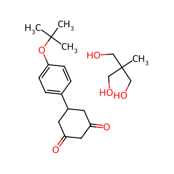 CC(C)(C)Oc1ccc(C2CC(=O)CC(=O)C2)cc1.CC(CO)(CO)CO